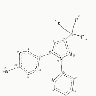 FC(F)(F)c1cc(-c2ccc(S)cc2)n(-c2ccccc2)n1